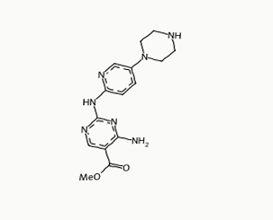 COC(=O)c1cnc(Nc2ccc(N3CCNCC3)cn2)nc1N